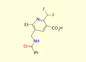 CCc1nc(C(F)F)c(C(=O)O)cc1CNC(=O)C(C)C